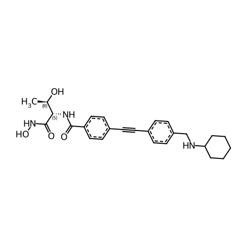 C[C@@H](O)[C@H](NC(=O)c1ccc(C#Cc2ccc(CNC3CCCCC3)cc2)cc1)C(=O)NO